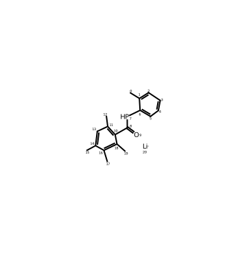 Cc1ccccc1PC(=O)c1c(C)cc(C)c(C)c1C.[Li]